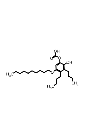 CCCCCCCCCCOc1cc(OC(=O)O)c(O)c(CCCC)c1CCCC